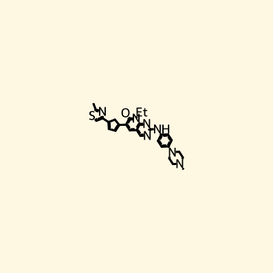 CCn1c(=O)c(C2=CC=C(c3csc(C)n3)C2)cc2cnc(Nc3ccc(N4CCN(C)CC4)cc3)nc21